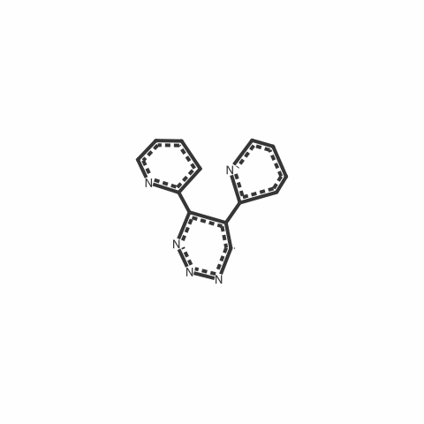 [c]1nnnc(-c2ccccn2)c1-c1ccccn1